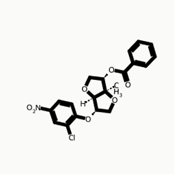 C[C@]12OC[C@H](Oc3ccc([N+](=O)[O-])cc3Cl)[C@H]1OC[C@@H]2OC(=O)c1ccccc1